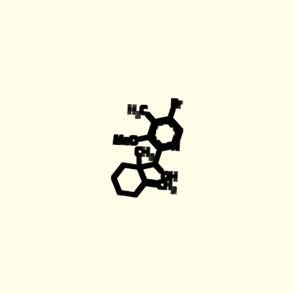 C=C1CCCCC1(C)C(O)c1ncc(Br)c(C)c1OC